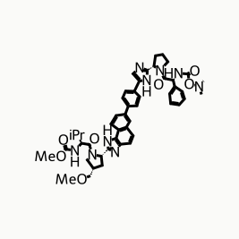 COC[C@H]1C[C@@H](c2nc3ccc4cc(-c5ccc(-c6cnc([C@@H]7CCCN7C(=O)[C@H](NC(=O)ON(C)C)c7ccccc7)[nH]6)cc5)ccc4c3[nH]2)N(C(=O)[C@@H](NC(=O)OC)C(C)C)C1